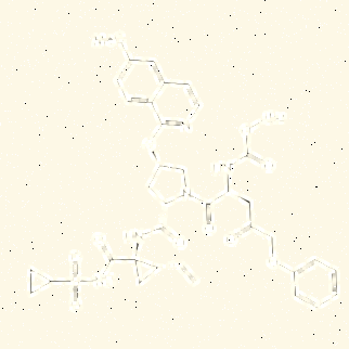 C=C[C@@H]1C[C@]1(NC(=O)[C@@H]1C[C@@H](Oc2nccc3cc(OC)ccc23)CN1C(=O)[C@H](CC(=O)COc1ccccc1)NC(=O)OC(C)(C)C)C(=O)NS(=O)(=O)C1CC1